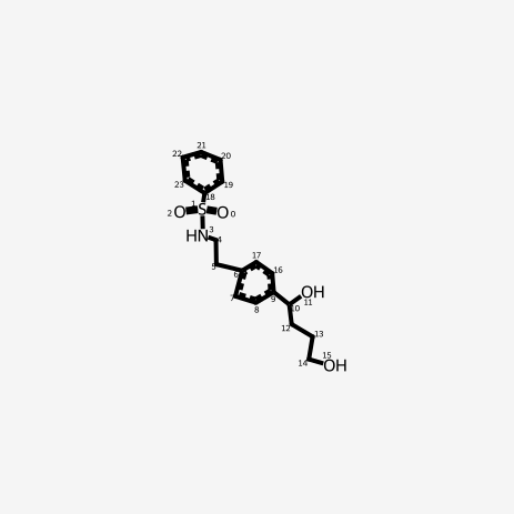 O=S(=O)(NCCc1ccc(C(O)CCCO)cc1)c1ccccc1